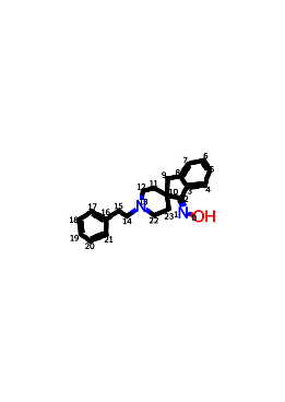 ON=C1c2ccccc2CC12CCN(CCc1ccccc1)CC2